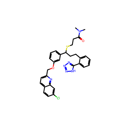 CN(C)C(=O)CCSC(CCc1ccccc1-c1nnn[nH]1)c1cccc(OCc2ccc3ccc(Cl)cc3n2)c1